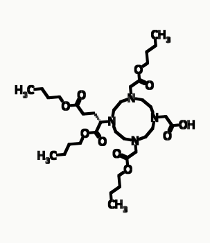 CCCCOC(=O)CC[C@@H](C(=O)OCCCC)N1CCN(CC(=O)OCCCC)CCN(CC(=O)O)CCN(CC(=O)OCCCC)CC1